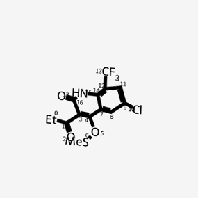 CCC(=O)c1c(OSC)c2cc(Cl)cc(C(F)(F)F)c2[nH]c1=O